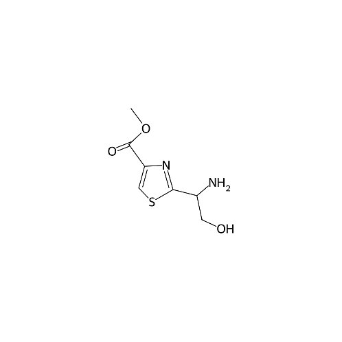 COC(=O)c1csc(C(N)CO)n1